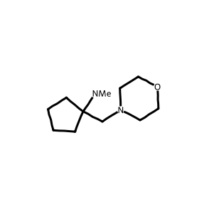 CNC1(CN2CCOCC2)CCCC1